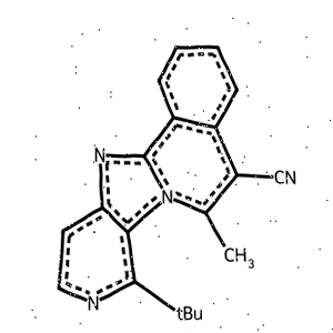 Cc1c(C#N)c2ccccc2c2nc3ccnc(C(C)(C)C)c3n12